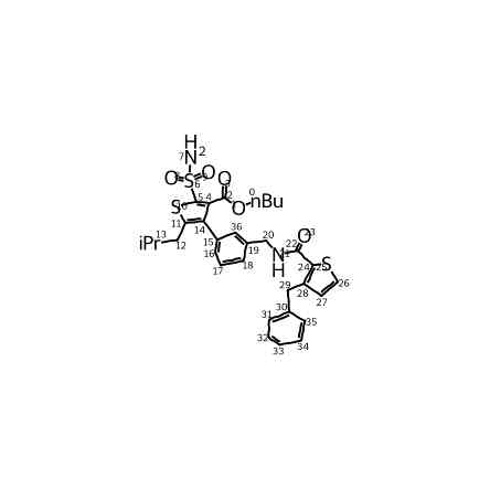 CCCCOC(=O)c1c(S(N)(=O)=O)sc(CC(C)C)c1-c1cccc(CNC(=O)c2sccc2Cc2ccccc2)c1